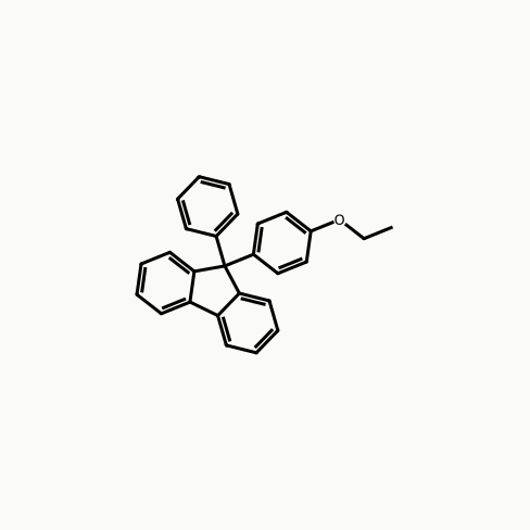 CCOc1ccc(C2(c3ccccc3)c3ccccc3-c3ccccc32)cc1